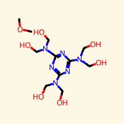 COC.OCN(CO)c1nc(N(CO)CO)nc(N(CO)CO)n1